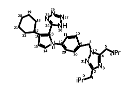 CC(C)Cc1nc(CC(C)C)n(Cc2ccc(-n3ccc(C4CCCCC4)c3-c3nnn[nH]3)cc2)n1